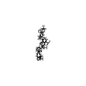 CC(C)c1cnc(N2CC[C@@]23CCN(C(=O)OC(C)(C)C)C3)c2cnc(Nc3ccnc(N4CC[C@@H](O)[C@@](C)(F)C4)n3)cc12